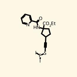 CCOC(=O)C1(NC(=O)c2ccccn2)CCC(C#CSP(I)I)C1